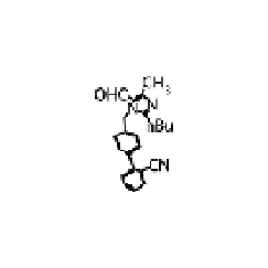 CCCCc1nc(C)c(C=O)n1Cc1ccc(-c2ccccc2C#N)cc1